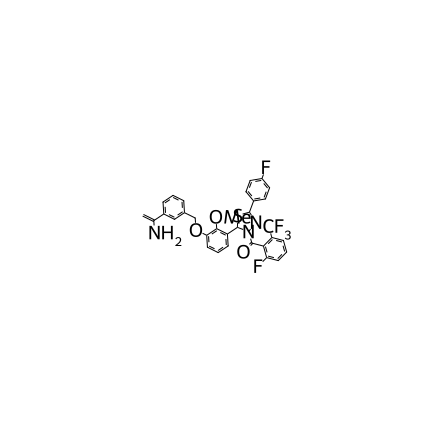 C=C(N)c1cccc(COc2cccc(C3SC(c4ccc(F)cc4)=NN3C(=O)c3c(F)cccc3C(F)(F)F)c2OC)c1